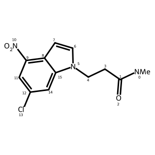 CNC(=O)CCn1ccc2c([N+](=O)[O-])cc(Cl)cc21